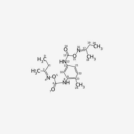 CC/C(C)=N\OC(=O)Nc1cc(NC(=O)O/N=C(\C)CC)ccc1C